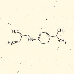 C=CC(=C)CNC1=CC=C(C(C)C)CC1